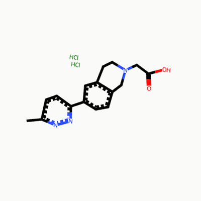 Cc1ccc(-c2ccc3c(c2)CCN(CC(=O)O)C3)nn1.Cl.Cl